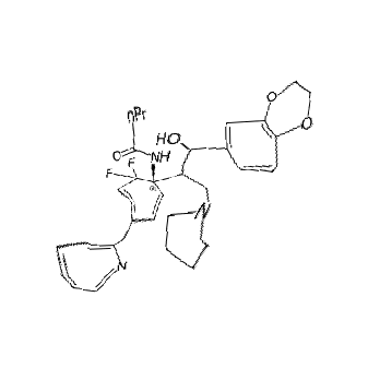 CCCC(=O)N[C@@]1(C(CN2CCCC2)C(O)c2ccc3c(c2)OCCO3)C=CC(c2ccccn2)=CC1(F)F